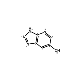 Oc1[c]c2nn[nH]c2nc1